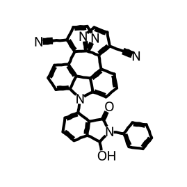 N#Cc1ccncc1-c1cccc2c1c1c(-c3cnccc3C#N)cccc1n2-c1cccc2c1C(=O)N(c1ccccc1)C2O